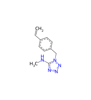 C=Cc1ccc(Cn2nnnc2NC)cc1